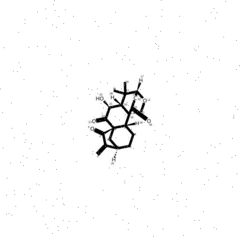 C=C1C(=O)[C@]23C[C@H]1CC[C@H]2[C@]12CO[C@H](CC1=O)C(C)(C)[C@H]2[C@H](O)C3=O